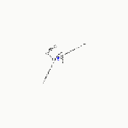 CCCCCCCCCCCCCCCCCCCCc1cc(CCCC)cc(C2=CC(CCCC)=C(c3cc(CCCC)cc(CCCCCCCCCCCCCCCCCCCC)c3)[N+]2=[N-])c1.c1ccc(C[CH2][Pd][CH2]Cc2ccccc2)cc1